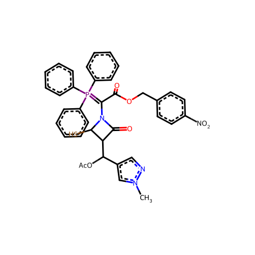 CC(=O)OC(c1cnn(C)c1)C1C(=O)N(C(C(=O)OCc2ccc([N+](=O)[O-])cc2)=P(c2ccccc2)(c2ccccc2)c2ccccc2)C1S